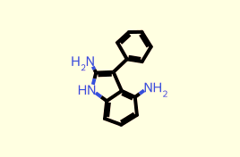 Nc1[nH]c2cccc(N)c2c1-c1ccccc1